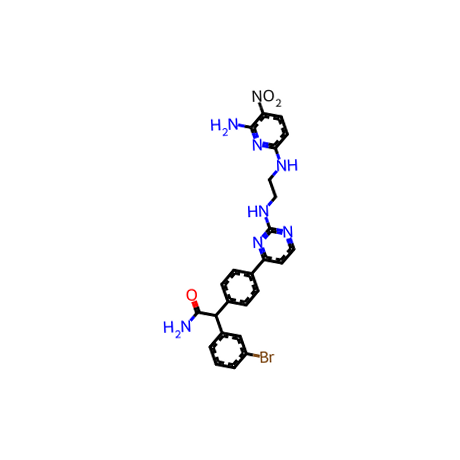 NC(=O)C(c1ccc(-c2ccnc(NCCNc3ccc([N+](=O)[O-])c(N)n3)n2)cc1)c1cccc(Br)c1